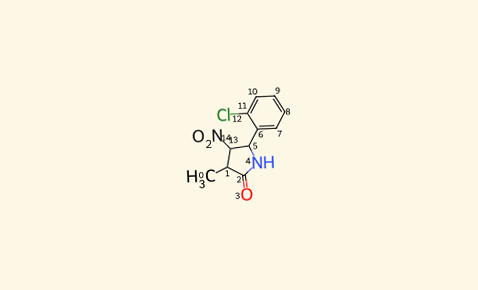 CC1C(=O)NC(c2ccccc2Cl)C1[N+](=O)[O-]